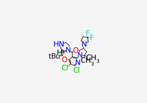 CC(C)(C)C1Oc2c(Cl)c(Cl)nc(N3CC(N4CCC(F)(F)C4)CC3(C)C)c2C(=O)N2CCNC[C@H]12